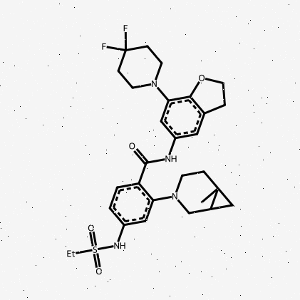 CCS(=O)(=O)Nc1ccc(C(=O)Nc2cc3c(c(N4CCC(F)(F)CC4)c2)OCC3)c(N2CCC3(C)CC3C2)c1